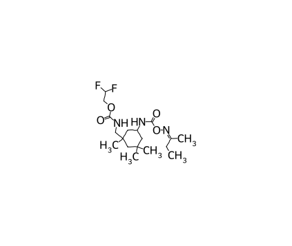 CCC(C)=NOC(=O)NC1CC(C)(C)CC(C)(CNC(=O)OCC(F)F)C1